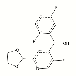 OC(c1cc(F)ccc1F)c1cc(C2OCCO2)ncc1F